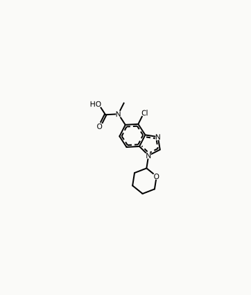 CN(C(=O)O)c1ccc2c(ncn2C2CCCCO2)c1Cl